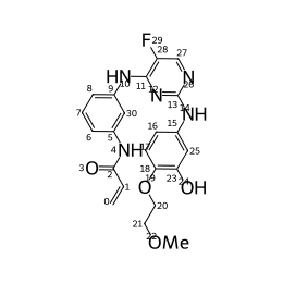 C=CC(=O)Nc1cccc(Nc2nc(Nc3ccc(OCCOC)c(O)c3)ncc2F)c1